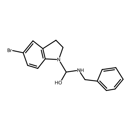 OC(NCc1ccccc1)N1CCc2cc(Br)ccc21